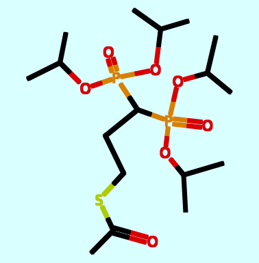 CC(=O)SCCC(P(=O)(OC(C)C)OC(C)C)P(=O)(OC(C)C)OC(C)C